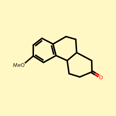 COc1ccc2c(c1)C1CCC(=O)CC1CC2